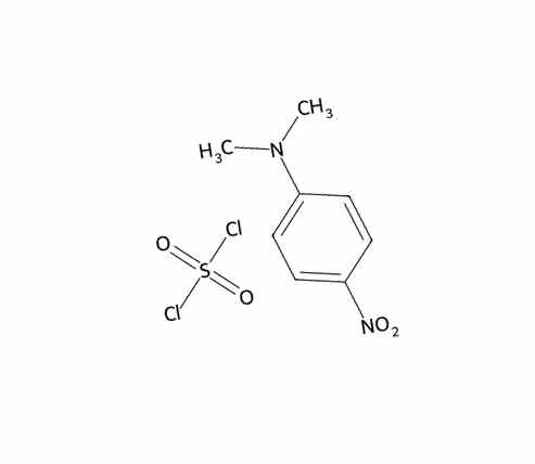 CN(C)c1ccc([N+](=O)[O-])cc1.O=S(=O)(Cl)Cl